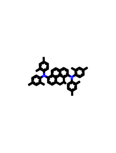 Cc1ccc(N(c2ccc(C)cc2C)c2ccc3ccc4c(N(c5ccc(C)cc5C)c5ccc(C)cc5C)ccc5c4c3c2C(C)C5)c(C)c1